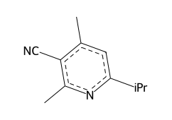 Cc1cc(C(C)C)nc(C)c1C#N